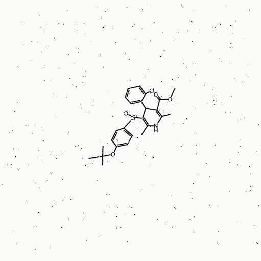 COC(=O)C1=C(C)NC(C)=C([S+]([O-])c2ccc(OC(C)(C)C)cc2)C1c1ccccc1Cl